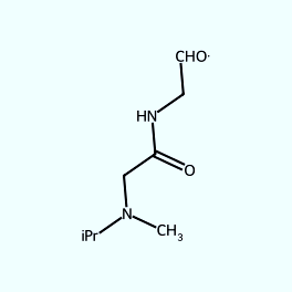 CC(C)N(C)CC(=O)NC[C]=O